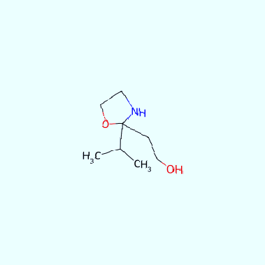 CC(C)C1(CCO)NCCO1